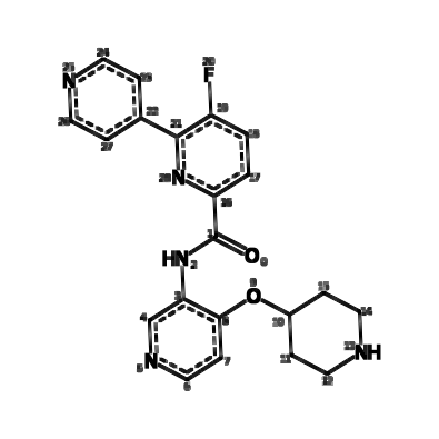 O=C(Nc1cnccc1OC1CCNCC1)c1ccc(F)c(-c2ccncc2)n1